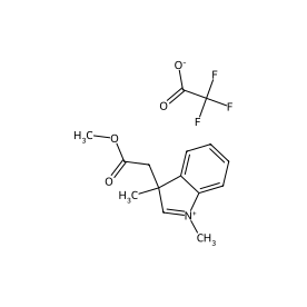 COC(=O)CC1(C)C=[N+](C)c2ccccc21.O=C([O-])C(F)(F)F